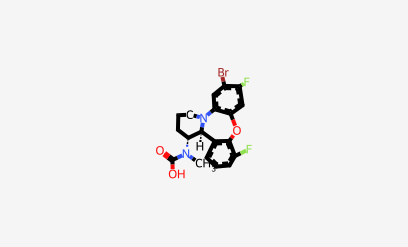 CN(C(=O)O)[C@@H]1CCCN2c3cc(Br)c(F)cc3Oc3c(F)cccc3[C@@H]12